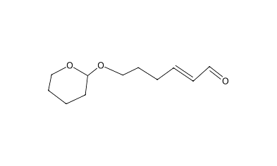 O=CC=CCCCOC1CCCCO1